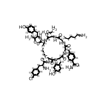 CC(C)[C@@H]1NC(=O)[C@H](CCCCCN)NC(=O)[C@@H](Cc2ccc(C(N)=O)cc2)NC(=O)[C@H](Cc2ccc(O)cc2)NC(=O)[C@H](NC(=O)[C@@H](N)Cc2ccc(Cl)cc2)CSSC[C@@H](C(=O)NC(Cc2ccc(O)cc2)C(N)=O)NC1=O